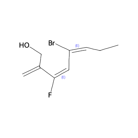 C=C(CO)/C(F)=C\C(Br)=C/CC